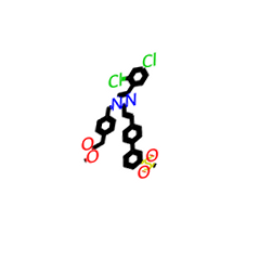 COC(=O)Cc1ccc(Cn2cc(-c3ccc(Cl)cc3Cl)nc2C=Cc2ccc(-c3cccc(S(C)(=O)=O)c3)cc2)cc1